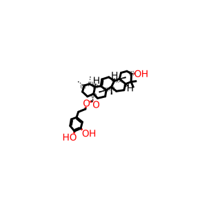 C[C@@H]1[C@H]2C3=CC[C@H]4[C@]5(C)CC[C@H](O)C(C)(C)[C@H]5CC[C@]4(C)[C@]3(C)CC[C@@]2(C(=O)OCCc2ccc(O)c(O)c2)CC[C@@H]1C